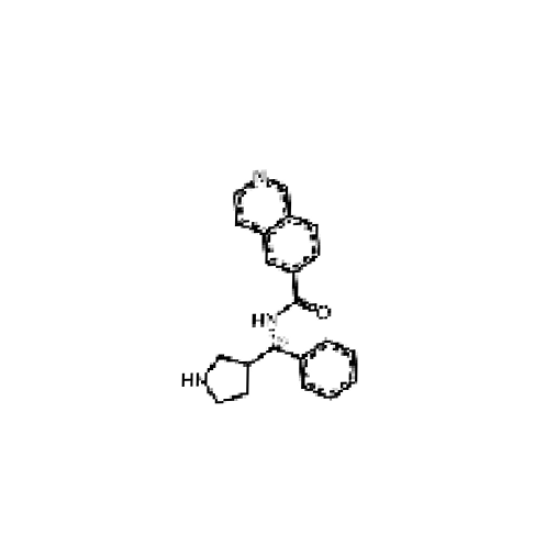 O=C(N[C@H](c1ccccc1)C1CCNC1)c1ccc2cnccc2c1